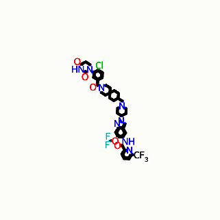 O=C1CCN(c2cc(C(=O)N3CCC4(CCC(CN5CCC(n6cc7cc(NC(=O)c8cccc(C(F)(F)F)n8)c(OC(F)F)cc7n6)CC5)CC4)CC3)ccc2Cl)C(=O)N1